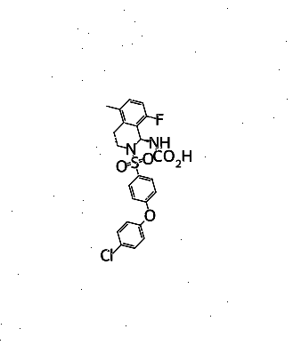 Cc1ccc(F)c2c1CCN(S(=O)(=O)c1ccc(Oc3ccc(Cl)cc3)cc1)[C@@H]2NC(=O)O